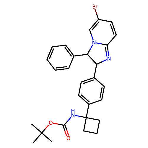 CC(C)(C)OC(=O)NC1(c2ccc(C3N=C4C=CC(Br)=CN4C3c3ccccc3)cc2)CCC1